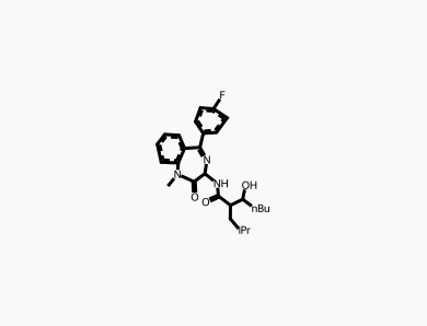 CCCCC(O)C(CC(C)C)C(=O)NC1N=C(c2ccc(F)cc2)c2ccccc2N(C)C1=O